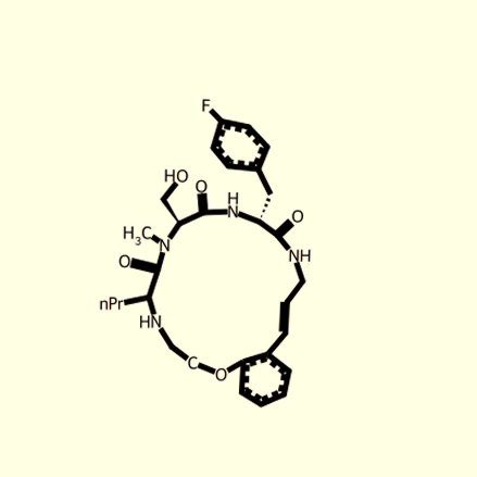 CCCC1NCCOc2ccccc2/C=C/CNC(=O)[C@@H](Cc2ccc(F)cc2)NC(=O)[C@H](CO)N(C)C1=O